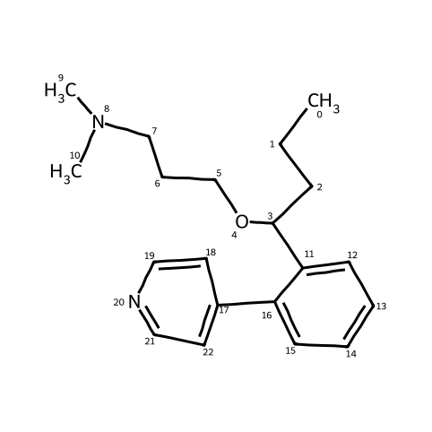 CCCC(OCCCN(C)C)c1ccccc1-c1ccncc1